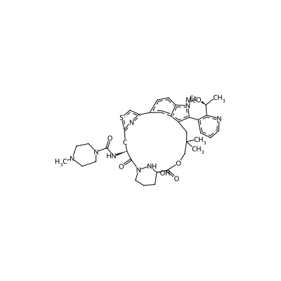 CCn1c(-c2cccnc2[C@H](C)OC)c2c3cc(ccc31)-c1csc(n1)C[C@H](NC(=O)N1CCN(C)CC1)C(=O)N1CCC[C@@](O)(N1)C(=O)OCC(C)(C)C2